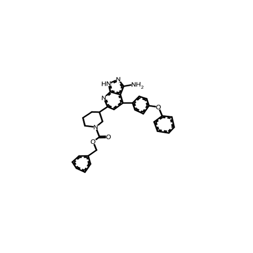 Nc1n[nH]c2nc(C3CCCN(C(=O)OCc4ccccc4)C3)cc(-c3ccc(Oc4ccccc4)cc3)c12